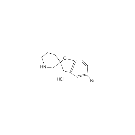 Brc1ccc2c(c1)CC1(CCCNC1)O2.Cl